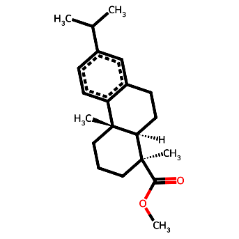 COC(=O)[C@@]1(C)CCC[C@]2(C)c3ccc(C(C)C)cc3CC[C@@H]12